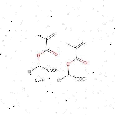 C=C(C)C(=O)OC(CC)C(=O)[O-].C=C(C)C(=O)OC(CC)C(=O)[O-].[Cu+2]